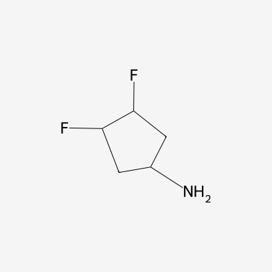 NC1CC(F)C(F)C1